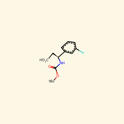 CC(C)(C)OC(=O)N[C@@H](CC(=O)O)c1cccc(F)c1